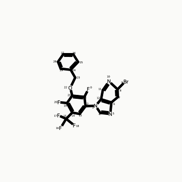 Fc1c(-n2cnc3cc(Br)ncc32)cc(C(F)(F)F)c(F)c1OCc1ccccc1